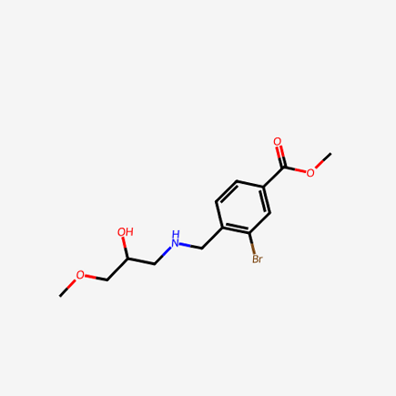 COCC(O)CNCc1ccc(C(=O)OC)cc1Br